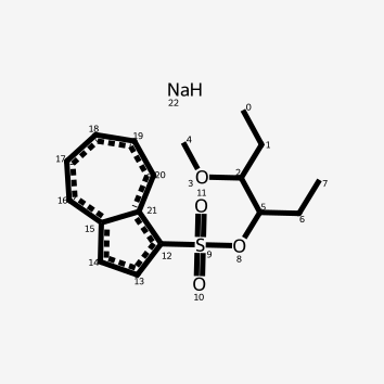 CCC(OC)C(CC)OS(=O)(=O)c1ccc2cccccc1-2.[NaH]